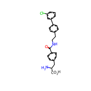 N[C@@H](Cc1ccc(C(=O)NCCc2ccc(-c3cccc(Cl)c3)cc2)cc1)C(=O)O